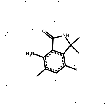 Cc1cc(I)c2c(c1N)C(=O)NC2(C)C